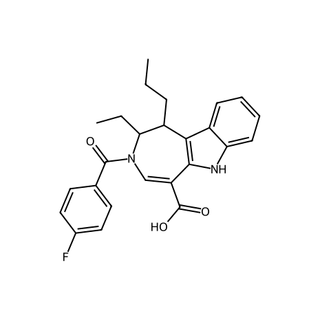 CCCC1c2c([nH]c3ccccc23)C(C(=O)O)=CN(C(=O)c2ccc(F)cc2)C1CC